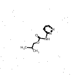 CC(C)COC(=O)Nc1cccnn1